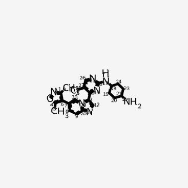 Cc1noc(C)c1-c1ccc2ncc(-c3nc(NC4CCC(N)CC4)ncc3Cl)n2c1